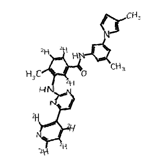 [2H]c1nc([2H])c(-c2ccnc(Nc3c([2H])c(C(=O)Nc4cc(C)cc(-n5ccc(C)c5)c4)c([2H])c([2H])c3C)n2)c([2H])c1[2H]